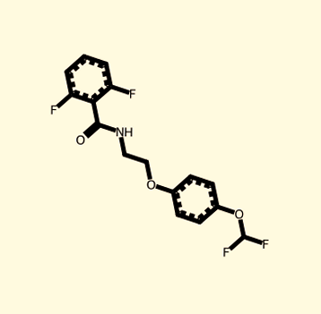 O=C(NCCOc1ccc(OC(F)F)cc1)c1c(F)cccc1F